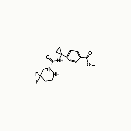 COC(=O)c1ccc(C2(NC(=O)[C@H]3CC(F)(F)CCN3)CC2)cc1